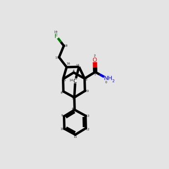 NC(=O)C12CC3CC(c4ccccc4)(CC1C3CCF)C2